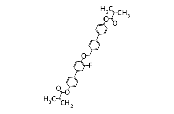 C=C(C)C(=O)Oc1ccc(-c2ccc(COc3ccc(-c4ccc(OC(=O)C(=C)C)cc4)cc3F)cc2)cc1